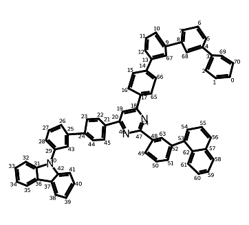 c1ccc(-c2cccc(-c3cccc(-c4ccc(-c5cc(-c6ccc(-c7cccc(-n8c9ccccc9c9ccccc98)c7)cc6)nc(-c6cccc(-c7cccc8ccccc78)c6)n5)cc4)c3)c2)cc1